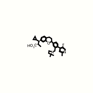 Cc1cc(-c2ccc(C3CCc4ccc([C@H](C5CC5)[C@H](C)C(=O)O)cc4O3)cc2CN2CCC2(C)C)c(F)cn1